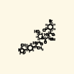 Cc1ncsc1-c1ccc(C(C)NC(=O)[C@@H]2C[C@@H](O)CN2C(=O)C(NC(=O)c2ccc(Br)cc2Cl)C(C)(C)C)cc1